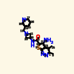 Cc1nnc2sc(C(=O)NC3CN(Cc4cccnc4)C3)c(N)c2c1C